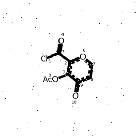 CC(=O)Oc1c(C(=O)Cl)occc1=O